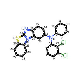 Clc1cccc(N(c2ccccc2)c2ccc3nc4sc5ccccc5n4c3c2)c1Cl